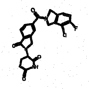 O=C1CCC(N2Cc3cc(C(=O)N4Cc5ccc(F)c(Cl)c5C4)ccc3C2=O)C(=O)N1